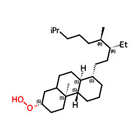 CC[C@H](CC[C@@H]1CCC[C@H]2[C@H]1CCC1C[C@@H](OO)CC[C@@]12C)[C@H](C)CCCC(C)C